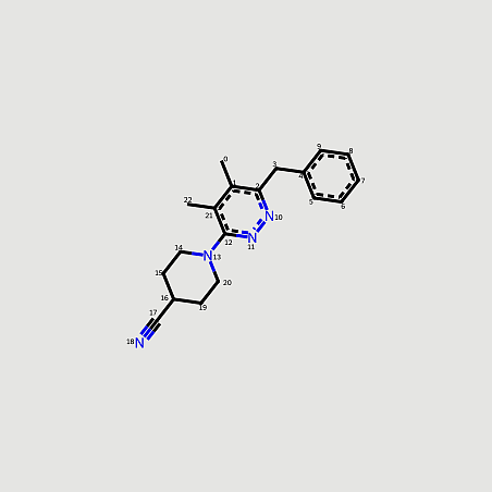 Cc1c(Cc2ccccc2)nnc(N2CCC(C#N)CC2)c1C